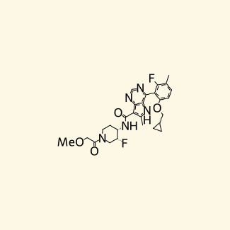 COCC(=O)N1CC[C@H](NC(=O)c2c(C)[nH]c3c(-c4c(OCC5CC5)ccc(C)c4F)ncnc23)[C@H](F)C1